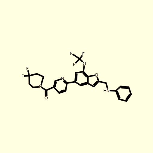 O=C(c1ccc(-c2cc(OC(F)(F)F)c3oc(CNc4ccccc4)cc3c2)nc1)N1CCC(F)(F)CC1